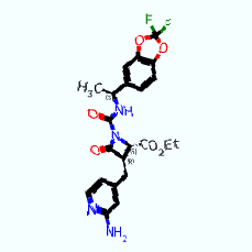 CCOC(=O)[C@@H]1[C@@H](Cc2ccnc(N)c2)C(=O)N1C(=O)N[C@@H](C)c1ccc2c(c1)OC(F)(F)O2